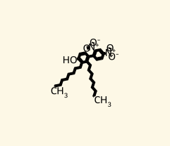 CCCCCCCCCc1c(O)ccc(-c2ccc([N+](=O)[O-])cc2[N+](=O)[O-])c1CCCCCCCCC